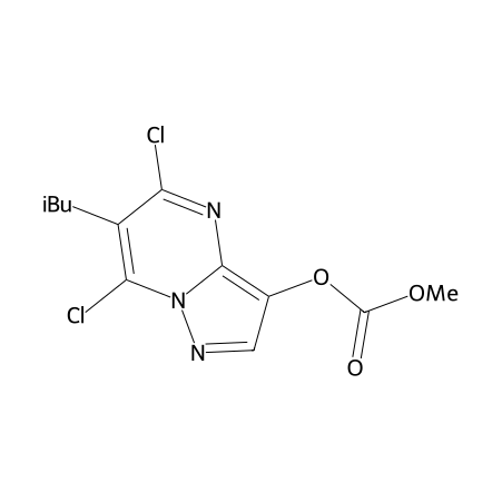 CCC(C)c1c(Cl)nc2c(OC(=O)OC)cnn2c1Cl